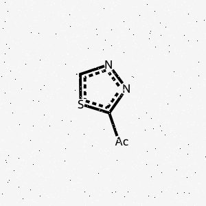 CC(=O)c1nn[c]s1